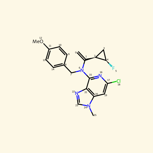 C=C([C@H]1C[C@H]1F)N(Cc1ccc(OC)cc1)c1nc(Cl)cc2c1ncn2C